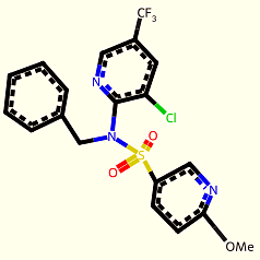 COc1ccc(S(=O)(=O)N(Cc2ccccc2)c2ncc(C(F)(F)F)cc2Cl)cn1